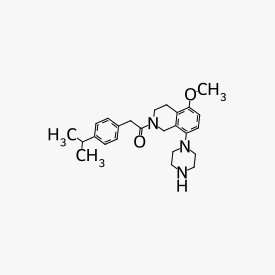 COc1ccc(N2CCNCC2)c2c1CCN(C(=O)Cc1ccc(C(C)C)cc1)C2